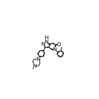 Cc1ccccc1-n1cc2c(-c3ccc(N4CCN(C)CC4)cc3)n[nH]c2cc1=O